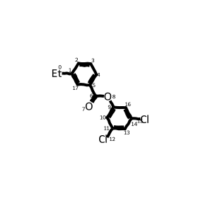 CCc1cccc(C(=O)Oc2cc(Cl)cc(Cl)c2)c1